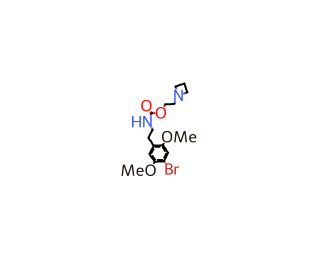 COc1cc(CCNC(=O)OCCN2CCC2)c(OC)cc1Br